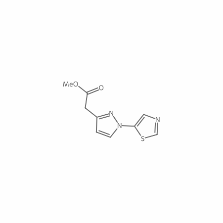 COC(=O)Cc1ccn(-c2cncs2)n1